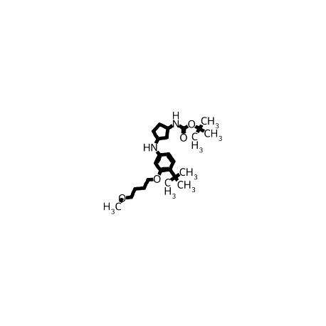 COCCCCOc1cc(NC2CCC(NC(=O)OC(C)(C)C)C2)ccc1C(C)(C)C